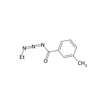 CCN=[N+]=NC(=O)c1cccc(C)c1